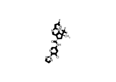 C[C@@]1(C(F)(F)F)C[C@H](C(=O)Nc2cnc(-n3nccn3)c(Cl)c2)c2cnc3cc(F)nn3c21